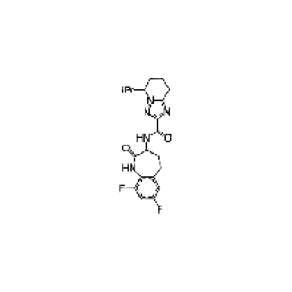 CC(C)C1CCCc2nc(C(=O)N[C@H]3CCc4cc(F)cc(F)c4NC3=O)nn21